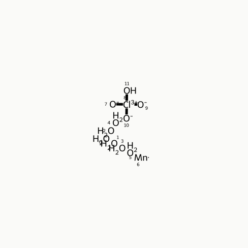 O.O.O.O.O.O.[Mn].[O-][Cl+3]([O-])([O-])O